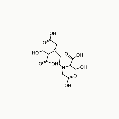 O=C(O)CN(CCN(CC(=O)O)C(CO)C(=O)O)C(CO)C(=O)O